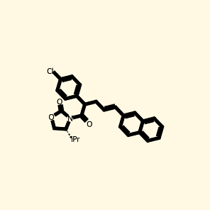 CC(C)[C@@H]1COC(=O)N1C(=O)C(C/C=C/c1ccc2ccccc2c1)c1ccc(Cl)cc1